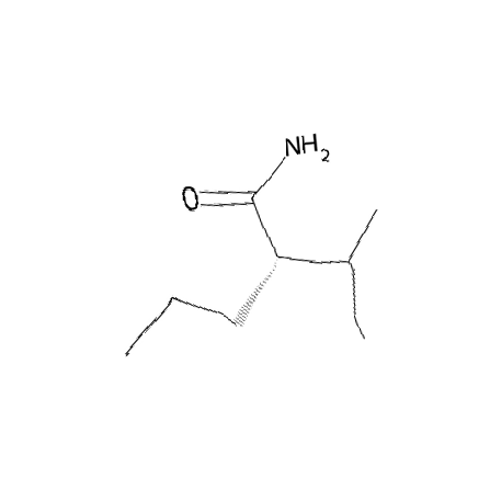 CCC[C@H](C(N)=O)C(C)C